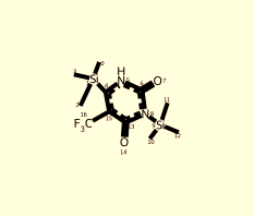 C[Si](C)(C)c1[nH]c(=O)n([Si](C)(C)C)c(=O)c1C(F)(F)F